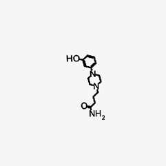 NC(=O)CCCN1CCN(c2cccc(O)c2)CC1